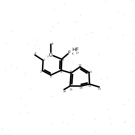 CC/C=C\C(=C(\F)OC)c1ccc(C)cc1C.F